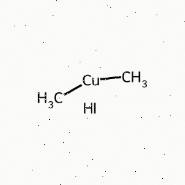 I.[CH3][Cu][CH3]